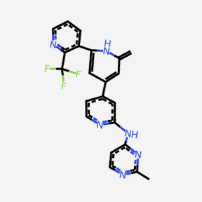 C=C1C=C(c2ccnc(Nc3ccnc(C)n3)c2)C=C(c2cccnc2C(F)(F)F)N1